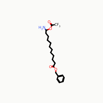 NC(CCCCCCCCCCC(=O)OCc1ccccc1)OC(=O)C(F)(F)F